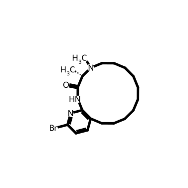 C[C@H]1C(=O)Nc2nc(Br)ccc2CCCCCCCCCCN1C